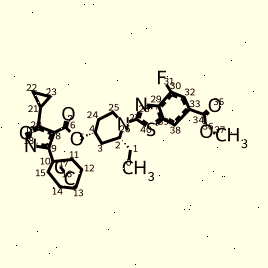 CC[C@@H]1C[C@H](OC(=O)c2c(C34CCC(CC3)CC4)noc2C2CC2)CCN1c1nc2c(F)cc(C(=O)OC)cc2s1